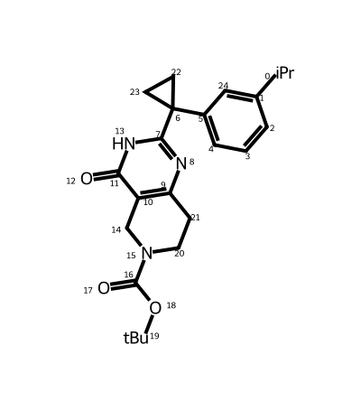 CC(C)c1cccc(C2(c3nc4c(c(=O)[nH]3)CN(C(=O)OC(C)(C)C)CC4)CC2)c1